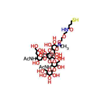 CC(=O)NC1C(O[C@H]2C(CO)O[C@@H](O[C@@H]3C(CO)O[C@@H](N(C)OCCOCCNC(=O)CCCS)C(O)C3O)C(O)C2O[C@]2(C(=O)O)CC(O)[C@@H](NC(C)=O)C(CC(O)CO)O2)OC(CO)[C@H](O)C1O[C@@H]1OC(CO)[C@H](O)C(O)C1O